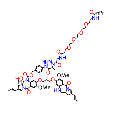 C/C=C/C1=CN2C(=O)c3cc(OC)c(OCCCOc4cc5c(cc4OC)C(=O)N4C=C(/C=C/C)C[C@H]4[C@H](O)N5C(=O)OCc4ccc(NC(=O)[C@H](C)N(N)C(=O)CNC(=O)CCOCCOCCOCCOCCNC(=O)CCC)cc4)cc3NCC2C1